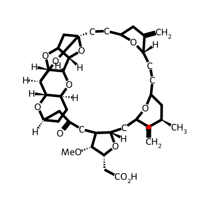 C=C1CC2CC[C@@]34CC5O[C@H]6[C@@H](O3)[C@H]3O[C@H](CC[C@@H]3O[C@H]6[C@H]5O4)CC(=O)CC3[C@H](C[C@H]4OC(CC[C@@H]1O2)C[C@@H](C)C4=C)O[C@H](CC(=O)O)[C@@H]3OC